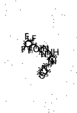 Fc1cc(F)c(F)c(COc2cnc(Nc3cnn(CCN4CCOCC4)c3)nc2)c1F